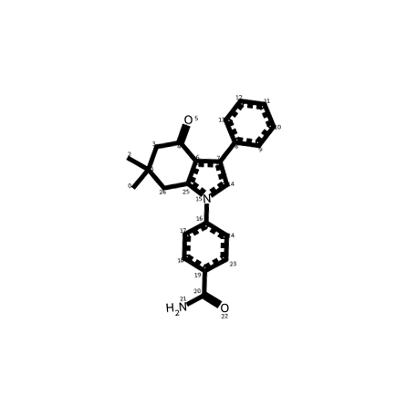 CC1(C)CC(=O)c2c(-c3ccccc3)cn(-c3ccc(C(N)=O)cc3)c2C1